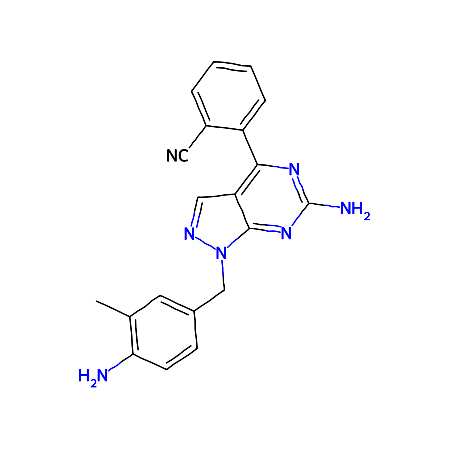 Cc1cc(Cn2ncc3c(-c4ccccc4C#N)nc(N)nc32)ccc1N